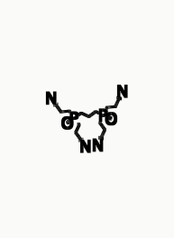 N#CCCP(=O)(CCC#N)CCCP(=O)(CCC#N)CCC#N